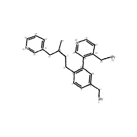 CC(C)Cc1ccc(CCC(C)Cc2cccnc2)c(-c2cnccc2CC(C)C)c1